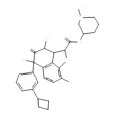 Nc1ccc2c3c1SC(C(=O)NC1CCCN(C(=O)O)C1)C3C(N)C(=O)C2(N)c1cccc(C2CCC2)c1